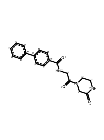 O=C1CN(C(=O)CNC(=O)c2ccc(-c3ccccc3)cc2)CCN1